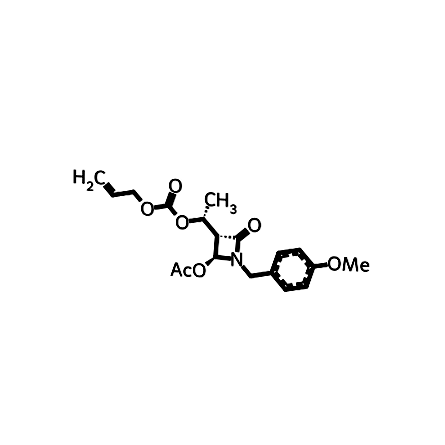 C=CCOC(=O)O[C@H](C)[C@@H]1C(=O)N(Cc2ccc(OC)cc2)[C@H]1OC(C)=O